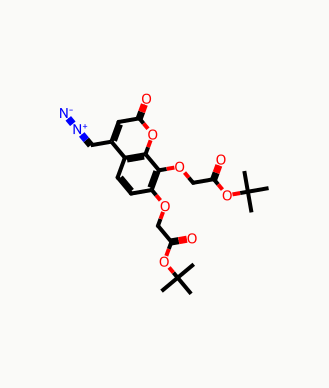 CC(C)(C)OC(=O)COc1ccc2c(C=[N+]=[N-])cc(=O)oc2c1OCC(=O)OC(C)(C)C